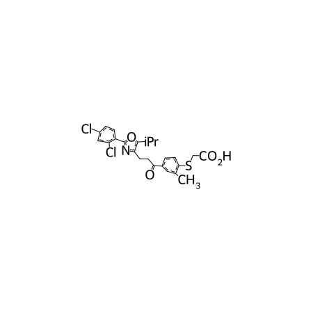 Cc1cc(C(=O)CCc2nc(-c3ccc(Cl)cc3Cl)oc2C(C)C)ccc1SCC(=O)O